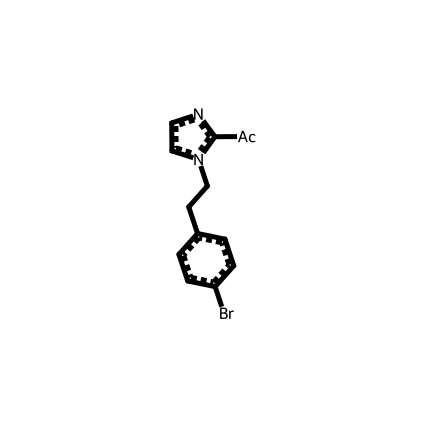 CC(=O)c1nccn1CCc1ccc(Br)cc1